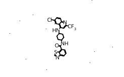 O=C(NC1CCC(Nc2cc(C(F)(F)F)nc3ccc(Cl)cc23)CC1)c1cccc2ncsc12